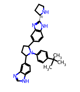 CC(C)(C)c1ccc(N2C(c3ccc4[nH]cnc4c3)CCC2c2ccc3[nH]c([C@@H]4CCCN4)nc3c2)cc1